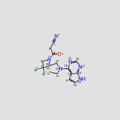 N#CCC(=O)N1CC(F)(F)[C@@]12CCN(c1ncnc3[nH]ccc13)C2